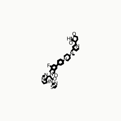 CN(Cc1ccnc(C2CCC(=O)NC2=O)c1)C1CCN(c2ccc(-c3cc(F)c4c(c3)C(=O)N(C(C(=O)Nc3nccs3)c3ncn5c3CCC5)C4)cc2)CC1